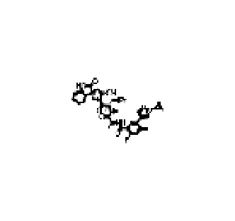 Cc1cc(F)c(C(=O)N[C@@H](C)C(=O)N(C)[C@@H](CC(C)C)C(=O)N2C[C@]3(C[C@H]2C#N)C(=O)Nc2ccccc23)cc1-c1cnn(C2CC2)c1